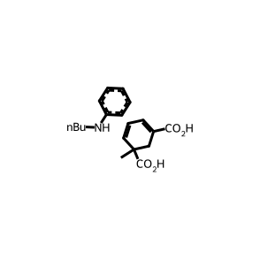 CC1(C(=O)O)C=CC=C(C(=O)O)C1.CCCCNc1ccccc1